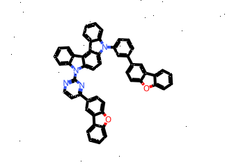 c1cc(-c2ccc3oc4ccccc4c3c2)cc(-n2c3ccccc3c3c4c5ccccc5n(-c5nccc(-c6ccc7oc8ccccc8c7c6)n5)c4ccc32)c1